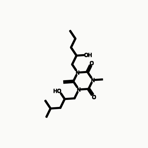 C=C1N(CC(O)CCC)C(=O)N(C)C(=O)N1CC(O)CC(C)C